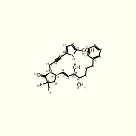 C[C@@H](CCCc1ccccc1)[C@H](O)/C=C/[C@H]1CC(F)(F)C(=O)N1CC#Cc1ccc(C(=O)O)s1